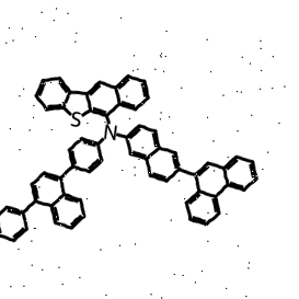 c1ccc(-c2ccc(-c3ccc(N(c4ccc5cc(-c6cc7ccccc7c7ccccc67)ccc5c4)c4c5ccccc5cc5c4sc4ccccc45)cc3)c3ccccc23)cc1